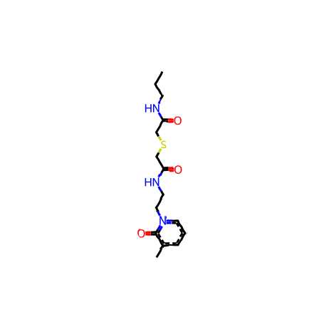 CCCNC(=O)CSCC(=O)NCCn1cccc(C)c1=O